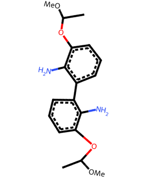 COC(C)Oc1cccc(-c2cccc(OC(C)OC)c2N)c1N